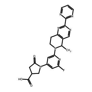 CC1c2cnc(-c3ncccn3)nc2CCN1c1cc(N2CC(C(=O)O)CC2=O)cc(F)n1